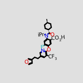 CC(C)N(c1cc(F)c(Oc2ncc(CCc3ccoc3)cc2C(F)(F)F)cc1C(=O)O)C(=O)[C@H]1CC[C@H](C)CC1